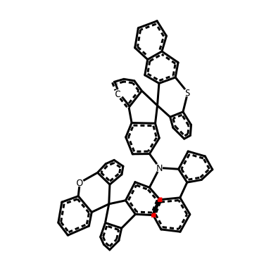 c1ccc(-c2ccccc2N(c2ccc3c(c2)C2(c4ccccc4Oc4ccccc42)c2ccccc2-3)c2ccc3c(c2)C2(c4ccccc4Sc4cc5ccccc5cc42)c2ccccc2-3)cc1